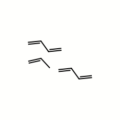 C=CC.C=CC=C.C=CC=C